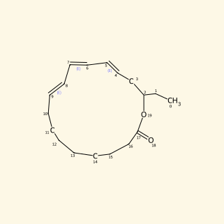 CCC1C/C=C/C=C/C=C/CCCCCCCC(=O)O1